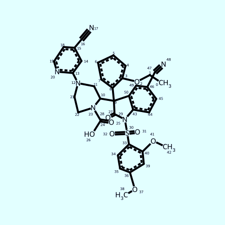 CCOc1ccccc1C1(C2CN(c3cc(C#N)ccn3)CCN2C(=O)O)C(=O)N(S(=O)(=O)c2ccc(OC)cc2OC)c2ccc(C#N)cc21